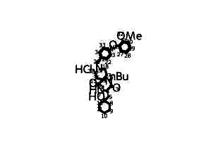 CCCCN1C(=O)[C@@H](CC2(O)CCCCC2)NC(=O)C12CCN(Cc1ccc(Oc3ccccc3OC)cc1)CC2.Cl